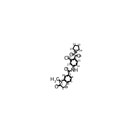 CN1C(=O)CSc2ccc(C(=O)Nc3ccc(S(=O)(=O)N4CCCC4)c(Cl)c3)cc21